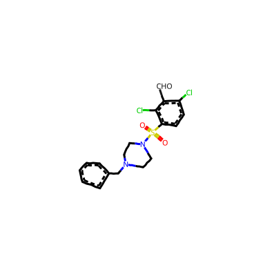 O=Cc1c(Cl)ccc(S(=O)(=O)N2CCN(Cc3ccccc3)CC2)c1Cl